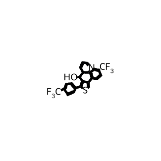 OC(c1c(-c2ccc(C(F)(F)F)cc2)csc1-c1ccc(C(F)(F)F)cc1)C1C=CC=NC1